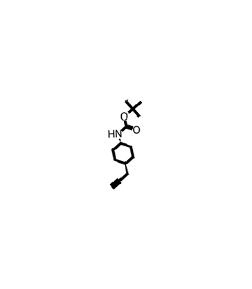 C#CC[C@H]1CC[C@H](NC(=O)OC(C)(C)C)CC1